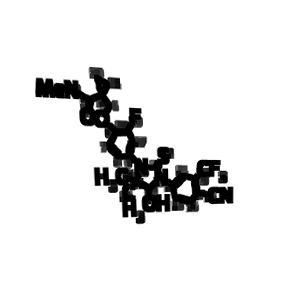 CNC(=O)C1(COc2ccc(N3C(=S)N(c4ccc(C#N)c(C(F)(F)F)c4)C(O)C3(C)C)cc2F)CC1